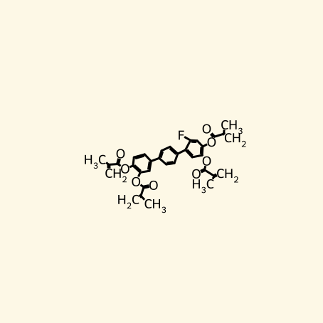 C=C(C)C(=O)Oc1ccc(-c2ccc(-c3cc(OC(=O)C(=C)C)c(OC(=O)C(=C)C)cc3F)cc2)cc1OC(=O)C(=C)C